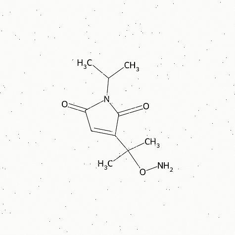 CC(C)N1C(=O)C=C(C(C)(C)ON)C1=O